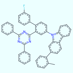 Cc1ccccc1-c1ccc2c3ccccc3n(-c3ccc(-c4cccc(F)c4)c(-c4nc(-c5ccccc5)nc(-c5ccccc5)n4)c3)c2c1